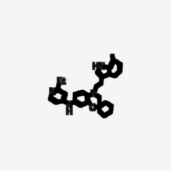 CCc1cc(Nc2ccc3c(c2)OC2(CCCCC2)CN3CCC2=CNC3=C(C)C=CCC23)ccn1